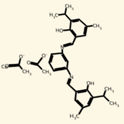 CC(=O)[O-].CC(=O)[O-].Cc1cc(C=Nc2cccc(N=Cc3cc(C)cc(C(C)C)c3O)c2)c(O)c(C(C)C)c1.[Co+2]